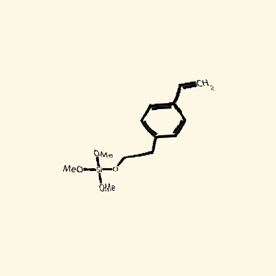 C=Cc1ccc(CCO[Si](OC)(OC)OC)cc1